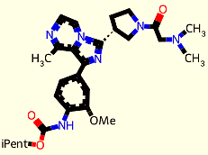 CCCC(C)OC(=O)Nc1ccc(-c2nc([C@@H]3CCN(C(=O)CN(C)C)C3)n3ccnc(C)c23)cc1OC